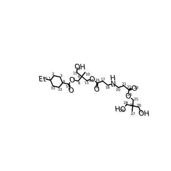 CCC1CCC(C(=O)OCC(C)(CO)COC(=O)CCNCCC(=O)OCC(C)(CO)CO)CC1